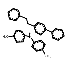 Cc1ccc(Nc2ccc(C)cc2)cc1.c1ccc(CCc2ccc(-c3ccccc3)cc2)cc1